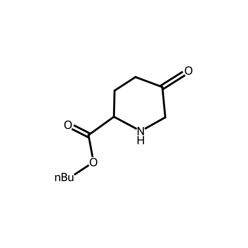 CCCCOC(=O)C1CCC(=O)CN1